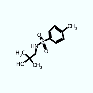 Cc1ccc(S(=O)(=O)NCC(C)(C)O)cc1